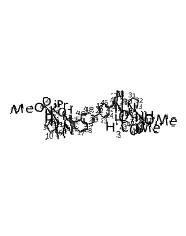 COC(=O)N[C@H](C(=O)N1[C@@H]2CC[C@@H](C2)[C@H]1c1nc2ccc3cc(-c4ccc(-c5cnc([C@@H]6CCCN6C(=O)[C@@H](NC(=O)OC)[C@@H](C)OC)[nH]5)cc4)ccc3c2[nH]1)C(C)C